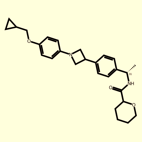 C[C@H](NC(=O)C1CCCCO1)c1ccc(C2CN(c3ccc(OCC4CC4)cc3)C2)cc1